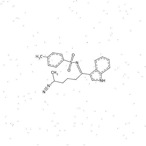 Cc1ccc(S(=O)(=O)N=C(CCCC(C)[N+]#N)c2c[nH]c3ccccc23)cc1